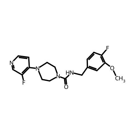 COc1cc(CNC(=O)N2CCN(c3ccncc3F)CC2)ccc1F